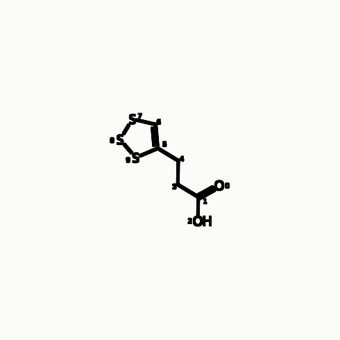 O=C(O)CCC1=CSSS1